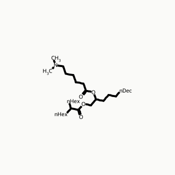 CCCCCCCCCCCCCC(COC(=O)C(CCCCCC)CCCCCC)OC(=O)CCCCCN(C)C